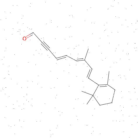 CC(C=CC1=C(C)CCCC1(C)C)=CC=CC#CC=O